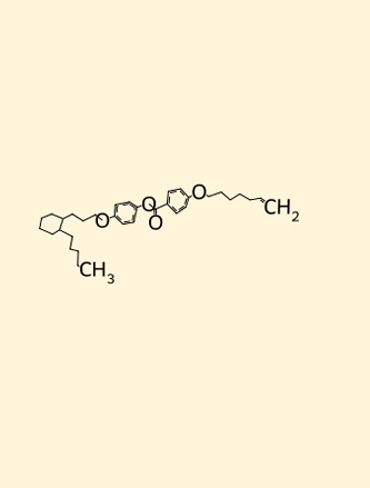 C=CCCCCCOc1ccc(C(=O)Oc2ccc(OCCCC3CCCCC3CCCCC)cc2)cc1